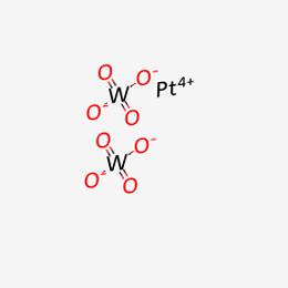 [O]=[W](=[O])([O-])[O-].[O]=[W](=[O])([O-])[O-].[Pt+4]